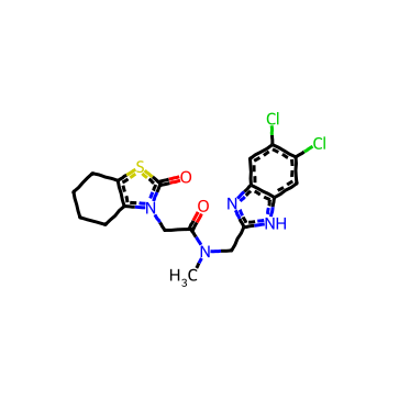 CN(Cc1nc2cc(Cl)c(Cl)cc2[nH]1)C(=O)Cn1c2c(sc1=O)CCCC2